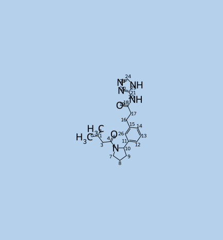 CC(C)CC(=O)N1CCCC1c1cccc(CCC(=O)Nc2nnc[nH]2)c1